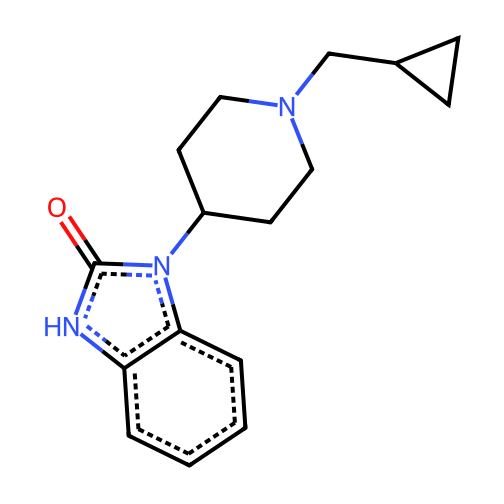 O=c1[nH]c2ccccc2n1C1CCN(CC2CC2)CC1